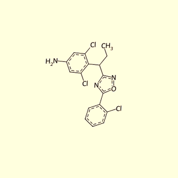 CCC(c1noc(-c2ccccc2Cl)n1)c1c(Cl)cc(N)cc1Cl